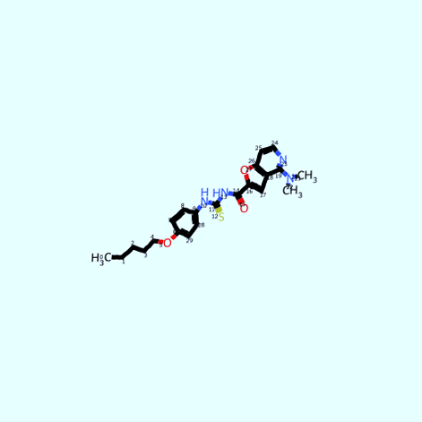 CCCCCOc1ccc(NC(=S)NC(=O)c2cc3c(N(C)C)nccc3o2)cc1